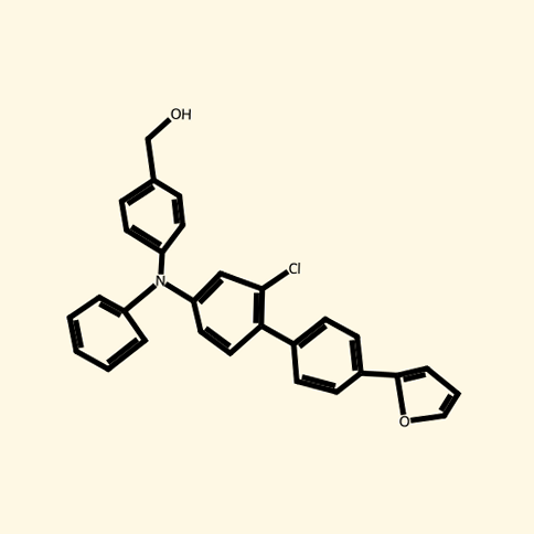 OCc1ccc(N(c2ccccc2)c2ccc(-c3ccc(-c4ccco4)cc3)c(Cl)c2)cc1